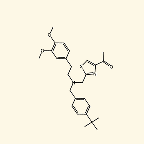 COc1ccc(CCN(Cc2ccc(C(C)(C)C)cc2)Cc2nc(C(C)=O)cs2)cc1OC